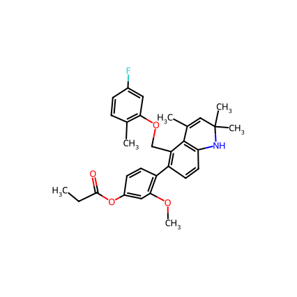 CCC(=O)Oc1ccc(-c2ccc3c(c2COc2cc(F)ccc2C)C(C)=CC(C)(C)N3)c(OC)c1